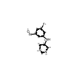 O=Nc1cc(F)cc(Nc2cncnc2)c1